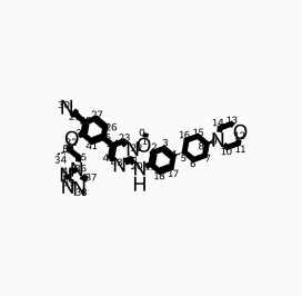 COc1cc([C@H]2CC[C@H](N3CCOCC3)CC2)ccc1Nc1ncc(-c2ccc(C#N)c(O[C@@H](C)Cn3cnnn3)c2)cn1